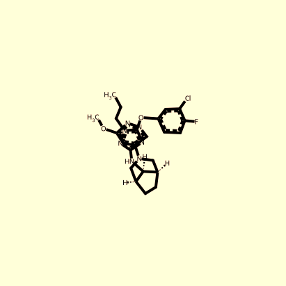 CCCn1nc(N[C@H]2[C@@H]3CC[C@H]2CN(c2cnnc(OC)c2)C3)nc1Oc1ccc(F)c(Cl)c1